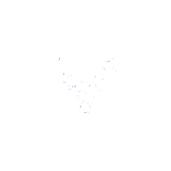 C=CCNC(=O)[C@@H]1CC(F)(F)CN1C(=O)[C@@H](O)[C@H](Cc1ccccc1)NC(=O)COc1c(C)cccc1C